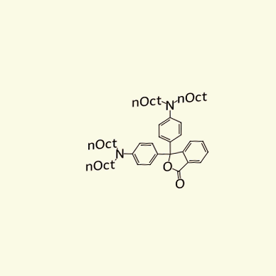 CCCCCCCCN(CCCCCCCC)c1ccc(C2(c3ccc(N(CCCCCCCC)CCCCCCCC)cc3)OC(=O)c3ccccc32)cc1